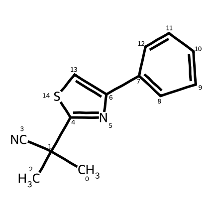 CC(C)(C#N)c1nc(-c2ccccc2)cs1